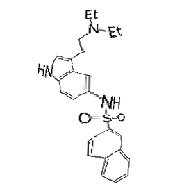 CCN(CC)CCc1c[nH]c2ccc(NS(=O)(=O)c3ccc4ccccc4c3)cc12